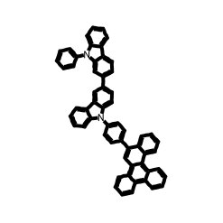 c1ccc(-n2c3ccccc3c3ccc(-c4ccc5c(c4)c4ccccc4n5-c4ccc(-c5cc6c7ccccc7c7ccccc7c6c6ccccc56)cc4)cc32)cc1